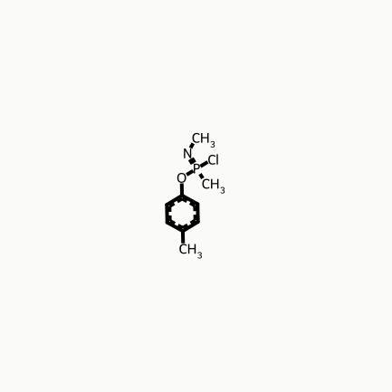 CN=P(C)(Cl)Oc1ccc(C)cc1